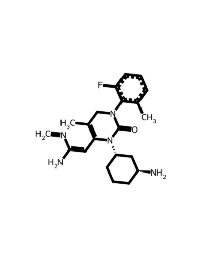 C=N/C(N)=C\C1=C(C)CN(c2c(C)cccc2F)C(=O)N1[C@H]1CCC[C@H](N)C1